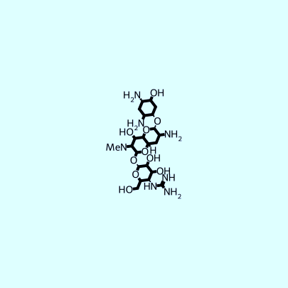 CNC1C(O[C@H]2OC(CO)[C@@H](NC(=N)N)C(O)C2O)O[C@H]2CC(N)[C@@H](O[C@H]3CC(O)[C@H](N)CC3N)OC2C1O